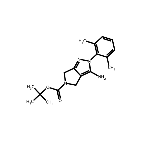 Cc1cccc(C)c1-n1nc2c(c1N)CN(C(=O)OC(C)(C)C)C2